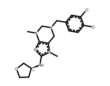 CN1CN(Cc2ccc(Cl)c(Cl)c2)Cc2c1nc(N[C@H]1CCOC1)n2C